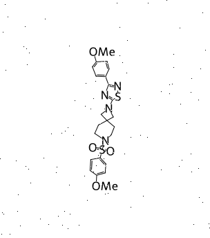 COc1ccc(-c2nsc(N3CC4(CCN(S(=O)(=O)c5ccc(OC)cc5)CC4)C3)n2)cc1